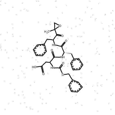 CC1(C(=O)C(Cc2ccccc2)NC(=O)[C@H](Cc2ccccc2)NC(=O)C(CC(=O)O)NC(=O)OCc2ccccc2)CO1